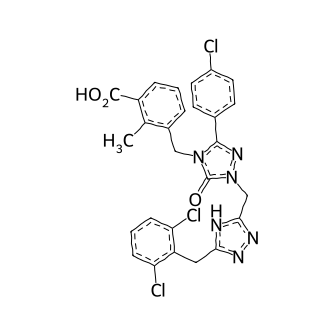 Cc1c(Cn2c(-c3ccc(Cl)cc3)nn(Cc3nnc(Cc4c(Cl)cccc4Cl)[nH]3)c2=O)cccc1C(=O)O